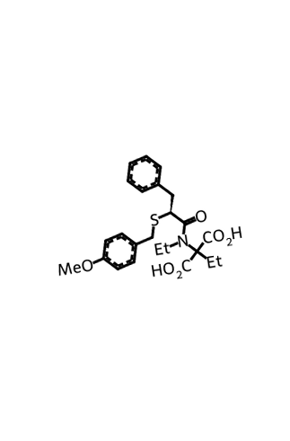 CCN(C(=O)[C@H](Cc1ccccc1)SCc1ccc(OC)cc1)C(CC)(C(=O)O)C(=O)O